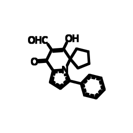 O=CC1=C(O)C2(CCCC2)n2c(ccc2-c2ccccc2)C1=O